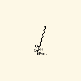 C=CCCCCCCCCC(=O)NC(=O)CCCCC